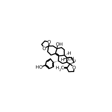 C=C1CCO[C@]12CC[C@H]1[C@@H]3CC[C@@]4(O)CC5(CCC4=C3[C@@H](c3ccc(O)cc3)C[C@@]12C)OCCO5